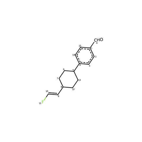 O=Cc1ccc(C2CCC(C=CF)CC2)cc1